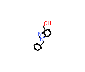 OCc1cccc2c1ncn2Cc1ccccc1